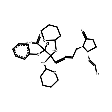 CC/C=C/[C@H]1CCC(=O)[C@@H]1CC=C=CC([16O]C1CCCCO1)([16O]C1CCCCO1)C(Cl)(Oc1ccccc1)C(=O)OC